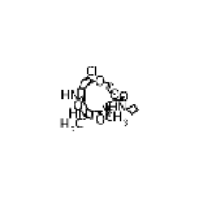 Cc1cc2c([nH]1)/C=C1\C(=O)Nc3cc(Cl)c(cc31)OCCO[C@@H](C(=O)NC1CCC1)CN(C)C2=O